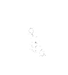 O=C1ON=C(c2ccccc2F)C1=CN1CCC(c2ccccc2)CC1